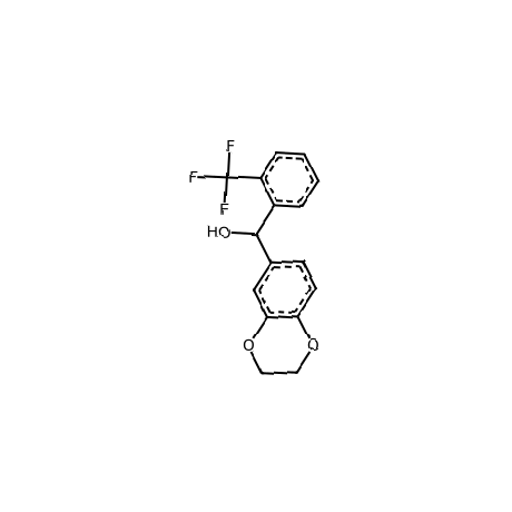 OC(c1ccc2c(c1)OCCO2)c1ccccc1C(F)(F)F